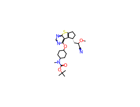 COC(C#N)C[C@H]1CCc2sc3ncnc(OC4CCC(N(C)C(=O)OC(C)(C)C)CC4)c3c21